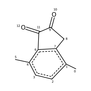 Cc1ccc(C)c2c1CC(=O)C2=O